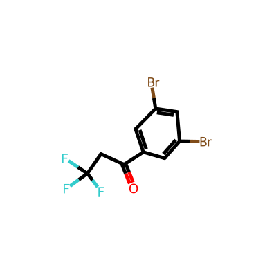 O=C(CC(F)(F)F)c1cc(Br)cc(Br)c1